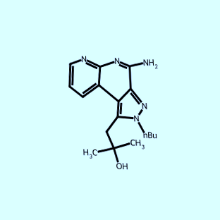 CCCCn1nc2c(N)nc3ncccc3c2c1CC(C)(C)O